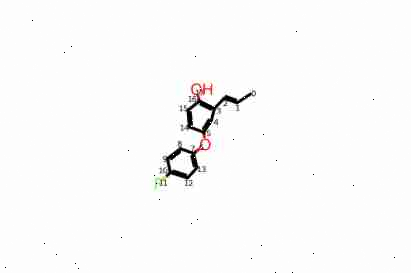 CC=Cc1cc(Oc2ccc(F)cc2)ccc1O